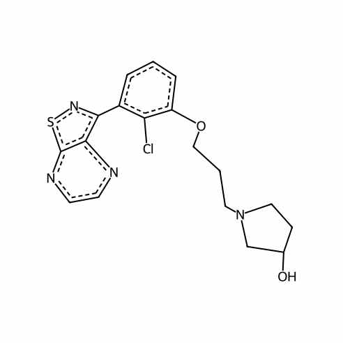 OC1CCN(CCCOc2cccc(-c3nsc4nccnc34)c2Cl)C1